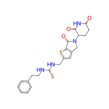 O=C1CCC(N2Cc3cc(CNC(=S)NCCc4ccccc4)sc3C2=O)C(=O)N1